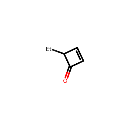 CCC1C=CC1=O